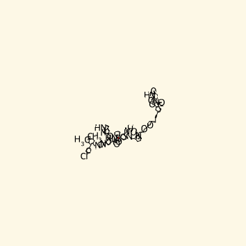 CC1(C)CCC(CN2CCN(c3ccc(C(=O)NS(=O)(=O)c4ccc(NCC5CCCN(CCOCCOCCC#Cc6ccc7c(c6)C(=O)N(C6CCC(=O)NC6=O)C7=O)C5)c([N+](=O)[O-])c4)c(Oc4cnc5[nH]ccc5c4)c3)CC2)=C(c2ccc(Cl)cc2)C1